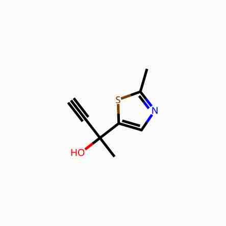 C#CC(C)(O)c1cnc(C)s1